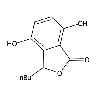 CCCCC1OC(=O)c2c(O)ccc(O)c21